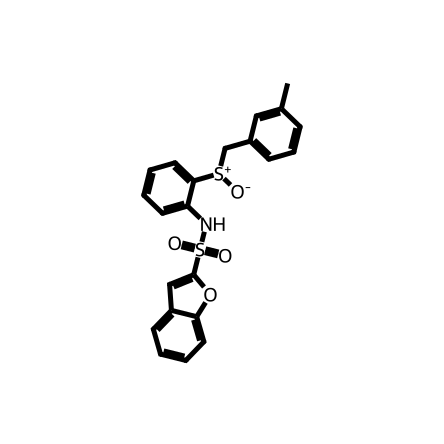 Cc1cccc(C[S+]([O-])c2ccccc2NS(=O)(=O)c2cc3ccccc3o2)c1